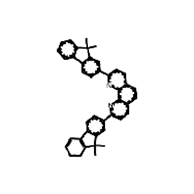 CC1(C)C2=C(C=CCC2)c2ccc(-c3ccc4ccc5ccc(-c6ccc7c(c6)C(C)(C)c6ccccc6-7)nc5c4n3)cc21